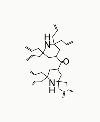 C=CCC1(CC=C)CC(C(=O)C2CC(CC=C)(CC=C)NC(CC=C)(CC=C)C2)CC(CC=C)(CC=C)N1